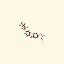 CCC(C)Oc1ccc(Oc2ccc(OC(=O)C(C)(C)CC)cc2)cc1